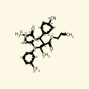 C=CCOC(=O)C1=C(C)N(c2cccc(C(F)(F)F)c2)c2nn(C)c(=O)n2C1c1ccc(C#N)cc1